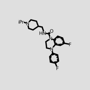 CC(C)N1CCC(CNC(=O)N2CCN(c3ccc(F)cc3)c3cc(F)ccc32)CC1